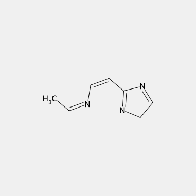 C/C=N\C=C/C1=NCC=N1